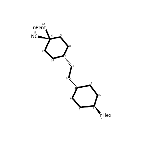 CCCCCC[C@H]1CC[C@H](CC[C@H]2CC[C@@](C#N)(CCCCC)CC2)CC1